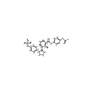 C=C(C)Cc1ccc(CNc2ncnc(N3CCCC3c3ccc(CC(F)(F)F)cc3)c2F)cc1